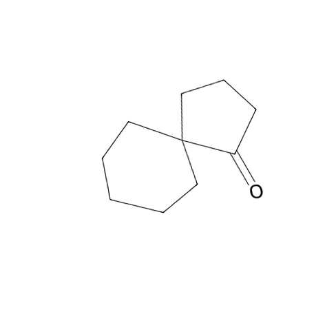 O=C1CCCC12CCCCC2